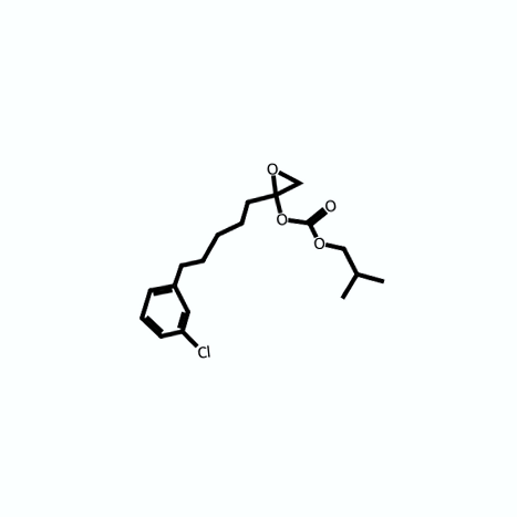 CC(C)COC(=O)OC1(CCCCCc2cccc(Cl)c2)CO1